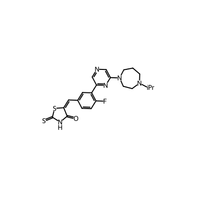 CC(C)N1CCCN(c2cncc(-c3cc(/C=C4/SC(=S)NC4=O)ccc3F)n2)CC1